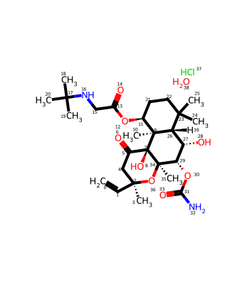 C=C[C@@]1(C)CC(=O)[C@]2(O)[C@@]3(C)[C@@H](OC(=O)CNC(C)(C)C)CCC(C)(C)[C@@H]3[C@H](O)[C@H](OC(N)=O)[C@@]2(C)O1.Cl.O